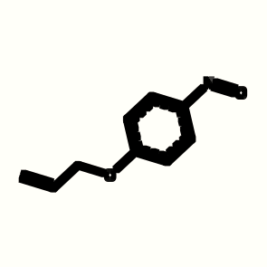 C=CCOc1ccc(N=O)cc1